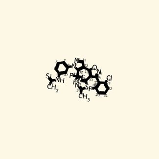 CC(=S)Nc1cccc(-n2ncc(-c3onc(-c4c(F)cccc4Cl)c3-c3nnc(C)s3)c2C(F)(F)F)c1